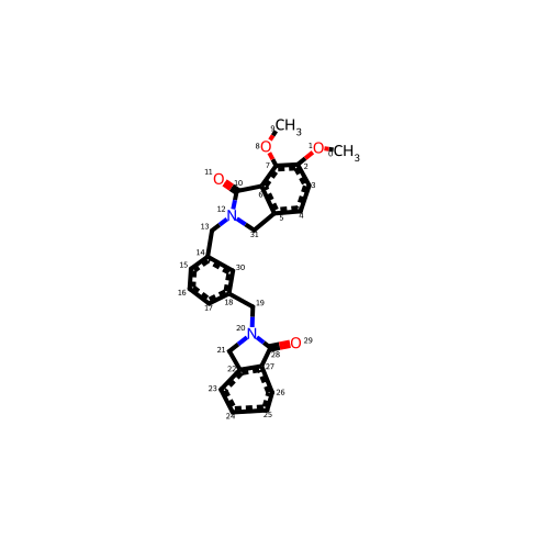 COc1ccc2c(c1OC)C(=O)N(Cc1cccc(CN3Cc4ccccc4C3=O)c1)C2